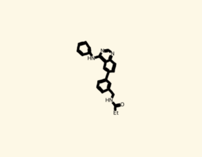 CCC(=O)NCc1cccc(-c2ccc3ncnc(Nc4ccccc4)c3c2)c1